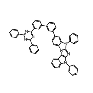 c1ccc(-c2nc(-c3ccccc3)nc(-c3cccc(-c4cccc(-c5ccc6c(c5)n(-c5ccccc5)c5nc7c(c8ccccc8n7-c7ccccc7)n65)c4)c3)n2)cc1